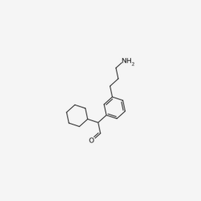 NCCCc1cccc(C(C=O)C2CCCCC2)c1